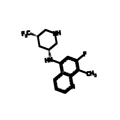 Cc1c(F)cc(N[C@H]2CNC[C@@H](C(F)(F)F)C2)c2cccnc12